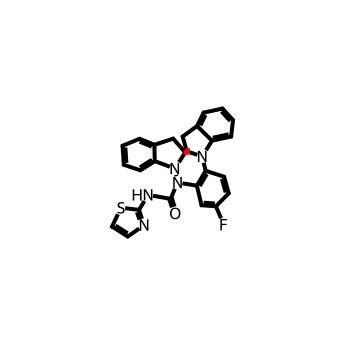 O=C(Nc1nccs1)N(c1cc(F)ccc1N1CCc2ccccc21)N1CCc2ccccc21